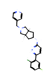 Fc1ccc(Cl)c(-c2ccc(N[C@H]3C[C@@H]4CN(Cc5ccncc5)C[C@@H]4C3)nn2)c1